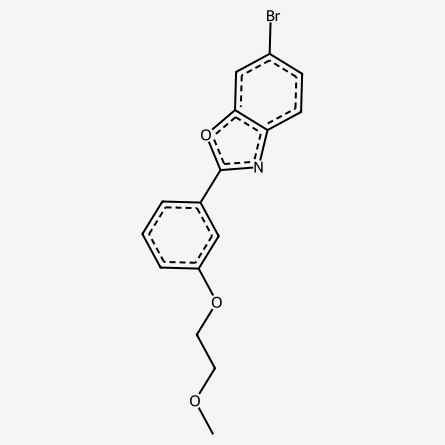 COCCOc1cccc(-c2nc3ccc(Br)cc3o2)c1